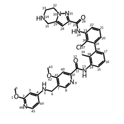 COc1cc(NCc2cnc(C(=O)Nc3cccc(-c4cccc(NC(=O)c5cc6n(n5)CCNC6)c4Cl)c3C)cc2OC)ccn1